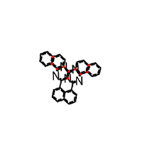 c1ccc(-c2cc(-c3cccc4cccc(-c5nc(-c6ccccc6)nc(-c6ccccc6)n5)c34)nc(-c3ccccc3)n2)cc1